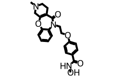 CN1CCC2=C(C1)Oc1ccccc1N(CCOc1ccc(C(=O)NO)cc1)C2=O